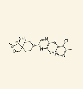 Cc1nccc(Sc2ncc(N3CCC4(CC3)CO[C@@H](C)[C@H]4N)nc2N)c1Cl